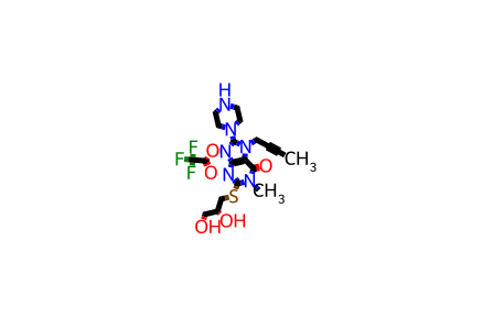 CC#CCN1c2c(nc(SCC(O)CO)n(C)c2=O)N(OC(=O)C(F)(F)F)C1N1CCNCC1